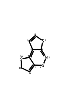 C1=C2SN=c3sccc3=C2SC1